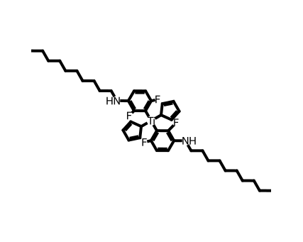 CCCCCCCCCCNc1ccc(F)[c]([Ti]([c]2c(F)ccc(NCCCCCCCCCC)c2F)([CH]2C=CC=C2)[CH]2C=CC=C2)c1F